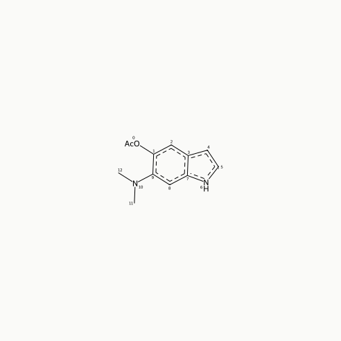 CC(=O)Oc1cc2c[c][nH]c2cc1N(C)C